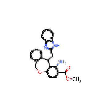 COC(=O)c1ccc2c(c1N)C(Cc1nc3ccccc3[nH]1)c1ccccc1CO2